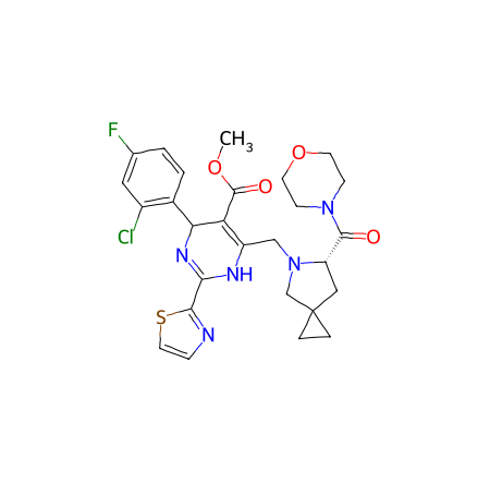 COC(=O)C1=C(CN2CC3(CC3)C[C@H]2C(=O)N2CCOCC2)NC(c2nccs2)=NC1c1ccc(F)cc1Cl